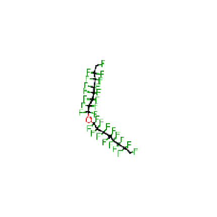 FCC(F)(F)C(F)(F)C(F)(F)C(F)(F)C(F)(F)C(F)(F)C(F)(F)OC(F)(F)C(F)(F)C(F)(F)C(F)(F)C(F)(F)C(F)(F)C(F)(F)CF